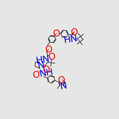 Cc1ncoc1-c1ccc(CNC(=O)[C@@H]2CCCN2C(=O)[C@@H](NC(=O)COCc2ccc(Oc3ccc(C(=O)NC4C(C)(C)CC4(C)C)cc3)cc2)C(C)(C)C)cc1